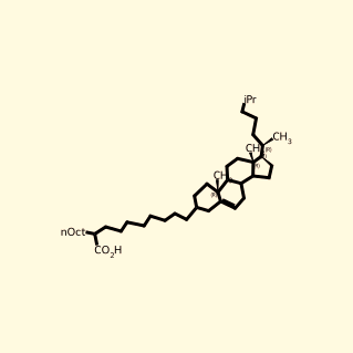 CCCCCCCCC(CCCCCCCCC1CC[C@@]2(C)C(=CCC3C2CC[C@@]2(C)C3CC[C@@H]2[C@H](C)CCCC(C)C)C1)C(=O)O